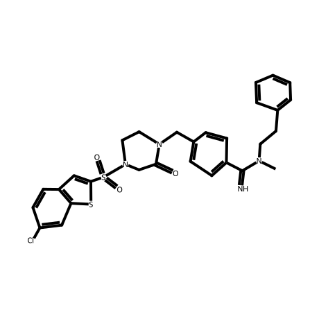 CN(CCc1ccccc1)C(=N)c1ccc(CN2CCN(S(=O)(=O)c3cc4ccc(Cl)cc4s3)CC2=O)cc1